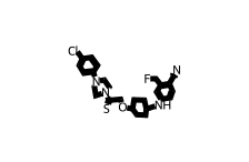 N#Cc1ccc(NC2CCC(OCC(=S)N3CCN(c4ccc(Cl)cc4)CC3)CC2)cc1CF